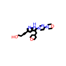 OCCC#Cc1cnc2[nH]c(N3C=CC(N4CCOCC4)=NC3)c(CC3CCOCC3)c2c1